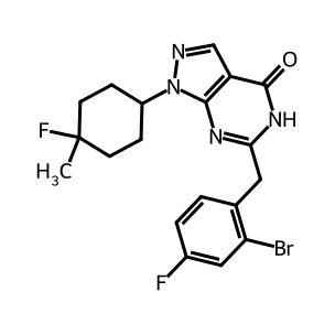 CC1(F)CCC(n2ncc3c(=O)[nH]c(Cc4ccc(F)cc4Br)nc32)CC1